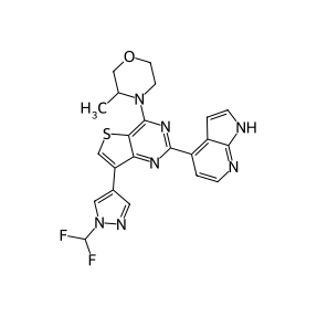 CC1COCCN1c1nc(-c2ccnc3[nH]ccc23)nc2c(-c3cnn(C(F)F)c3)csc12